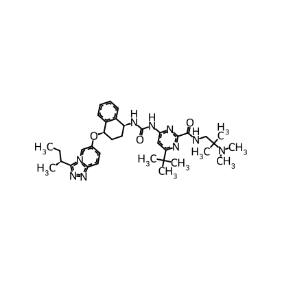 CC[C@H](C)c1nnc2ccc(O[C@@H]3CC[C@H](NC(=O)Nc4cc(C(C)(C)C)nc(C(=O)NCC(C)(C)N(C)C)n4)c4ccccc43)cn12